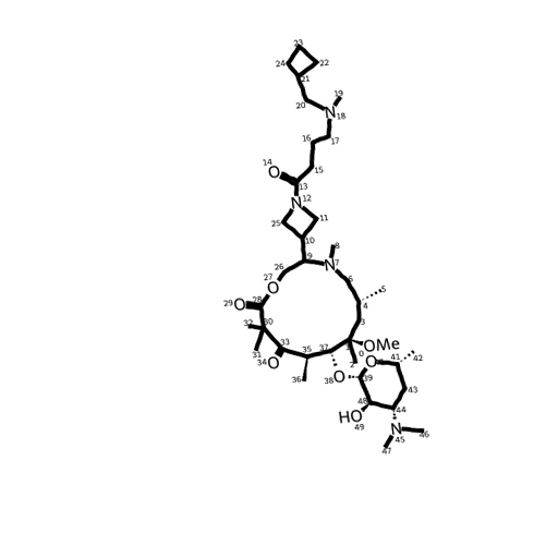 CO[C@]1(C)C[C@@H](C)CN(C)C(C2CN(C(=O)CCCN(C)CC3CCC3)C2)COC(=O)C(C)(C)C(=O)[C@H](C)[C@H]1O[C@@H]1O[C@H](C)C[C@H](N(C)C)[C@H]1O